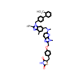 CCCc1nc2c(C)cc(CN(C)c3ccc4nc(COc5ccc(CC6SC(=O)NC6=O)cc5)n(C)c4n3)cc2n1Cc1ccc(-c2ccccc2C(=O)O)cc1